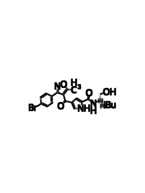 CC[C@@H](C)[C@@H](CO)NC(=O)c1cc(C(=O)c2c(-c3ccc(Br)cc3)noc2C)c[nH]1